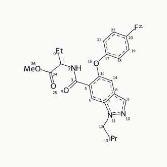 CCC(NC(=O)c1cc2c(cnn2CC(C)C)cc1Oc1ccc(F)cc1)C(=O)OC